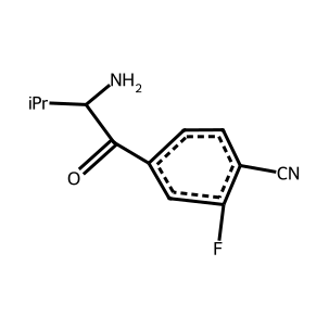 CC(C)C(N)C(=O)c1ccc(C#N)c(F)c1